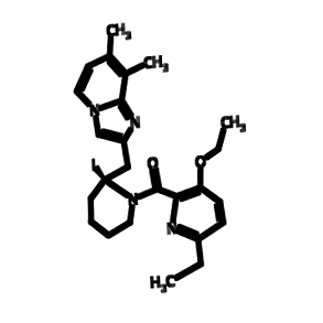 CCOc1ccc(CC)nc1C(=O)N1CCCC[C@]1(I)Cc1cn2ccc(C)c(C)c2n1